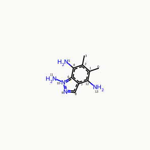 Cc1c(C)c(N)c2c(cnn2N)c1N